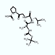 CC(C)C[C@H](NC(=O)[C@H](C)NC(=O)OC(C)(C)C)C(=O)NCC(=O)N1CCC[C@H]1C(=O)O